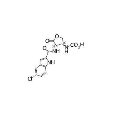 O=C(O)N[C@@H]1COC(=O)[C@H]1NC(=O)c1cc2cc(Cl)ccc2[nH]1